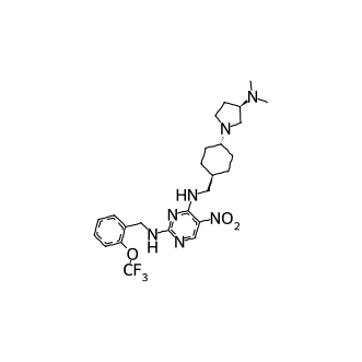 CN(C)[C@@H]1CCN([C@H]2CC[C@H](CNc3nc(NCc4ccccc4OC(F)(F)F)ncc3[N+](=O)[O-])CC2)C1